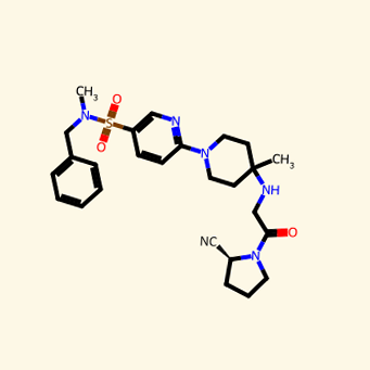 CN(Cc1ccccc1)S(=O)(=O)c1ccc(N2CCC(C)(NCC(=O)N3CCC[C@H]3C#N)CC2)nc1